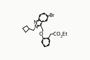 CCOC(=O)Cc1ccccc1OCc1c2cc(Br)ccc2nn1CC1CCC1